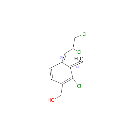 C/C=c1/c(Cl)c(CO)cc/c1=C/C(Cl)CCl